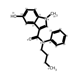 CCCCN(C(=O)c1[c]n(C)c2ccc(O)cc12)c1ccccc1